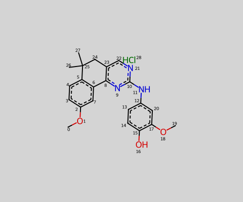 COc1ccc2c(c1)-c1nc(Nc3ccc(O)c(OC)c3)ncc1CC2(C)C.Cl